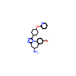 NC1Cc2cc(Br)ccc2-n2c(nnc2C2CCC(Oc3ccccn3)CC2)C1